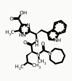 Cc1[nH]c([C@@H](Cc2c[nH]c3ccccc23)NC(=O)[C@H](CC(C)C)N(C)C(=O)N2CCCCCC2)nc1C(=O)O